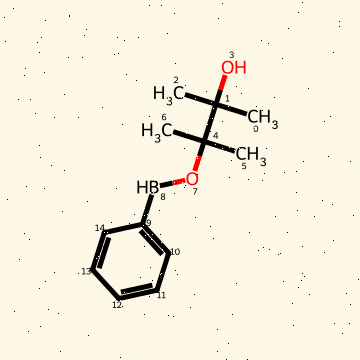 CC(C)(O)C(C)(C)OBc1ccccc1